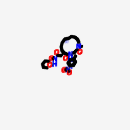 CN1CCCC/C=C/CCC[C@H](CC(=O)NOC2CCCCO2)C(=O)N[C@@H](Cc2ccc([N+](=O)[O-])cc2)C1=O